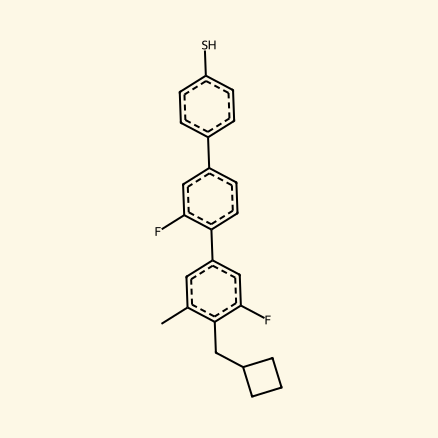 Cc1cc(-c2ccc(-c3ccc(S)cc3)cc2F)cc(F)c1CC1CCC1